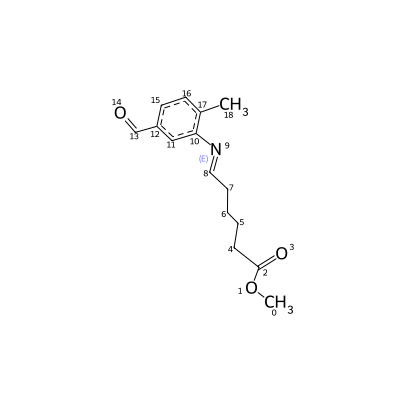 COC(=O)CCCC/C=N/c1cc(C=O)ccc1C